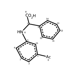 CC(=O)c1cccc(NC(C(=O)O)c2ccccc2)c1